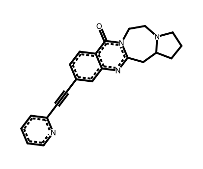 O=c1c2ccc(C#Cc3ccccn3)cc2nc2n1CCN1CCCC1C2